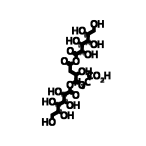 CC(=O)O.O=C(CC(O)C(=O)OC(=O)[C@H](O)[C@@H](O)[C@H](O)[C@H](O)CO)OC(=O)[C@H](O)[C@@H](O)[C@H](O)[C@H](O)CO